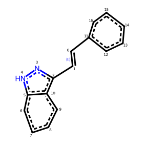 C(=C\c1n[nH]c2ccccc12)/c1ccccc1